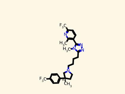 Cc1nc(C(F)(F)F)ccc1-c1nnc(CCCCN2CC[C@](C)(c3ccc(C(F)(F)F)cc3)C2)n1C